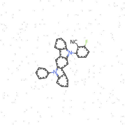 N#Cc1c(F)cccc1-n1c2ccccc2c2cc3c(cc21)c1ccccc1n3-c1ccccc1